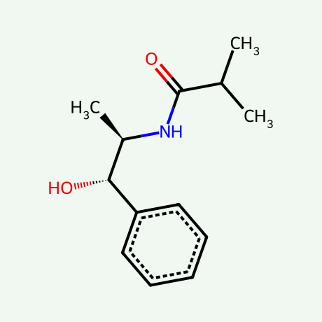 CC(C)C(=O)N[C@H](C)[C@@H](O)c1ccccc1